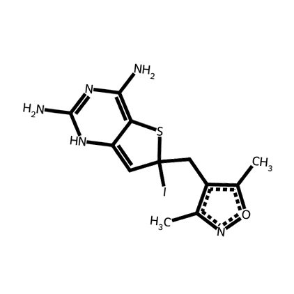 Cc1noc(C)c1CC1(I)C=C2NC(N)=NC(N)=C2S1